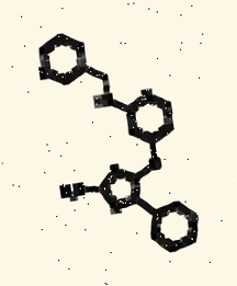 Nc1nc(-c2ccccc2)c(Oc2ccnc(NCc3cccnc3)c2)s1